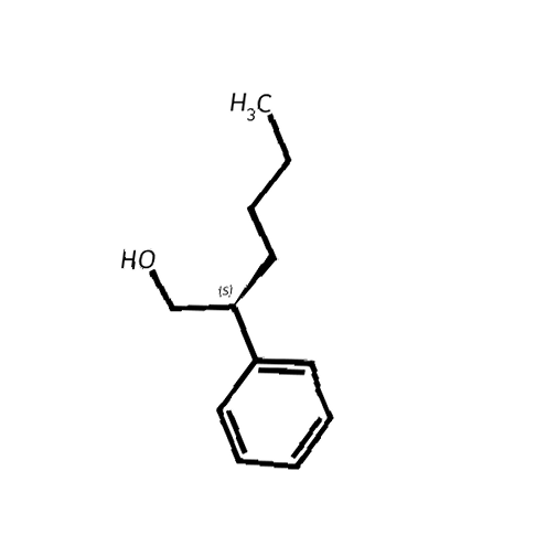 CCCC[C@H](CO)c1ccccc1